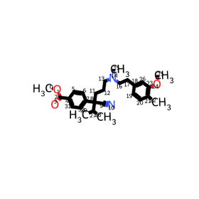 COC(=O)c1ccc(C(C#N)(CCCN(C)CCc2ccc(C)c(OC)c2)C(C)C)cc1